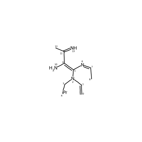 C=CN(CC(C)C)C(/N=C\C)=C(\N)C(C)=N